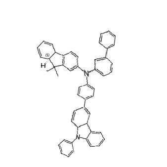 CC1(C)c2cc(N(c3ccc(C4=CC5c6ccccc6N(c6ccccc6)C5C=C4)cc3)c3cccc(-c4ccccc4)c3)ccc2C2C=CC=C[C@@H]21